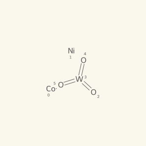 [Co].[Ni].[O]=[W](=[O])=[O]